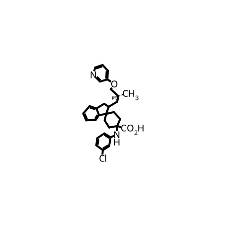 C[C@@H](COc1cccnc1)CC1Cc2ccccc2C12CCC(Nc1cccc(Cl)c1)(C(=O)O)CC2